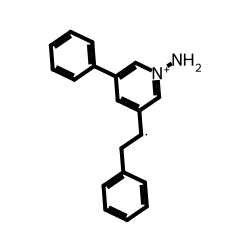 N[n+]1cc([CH]Cc2ccccc2)cc(-c2ccccc2)c1